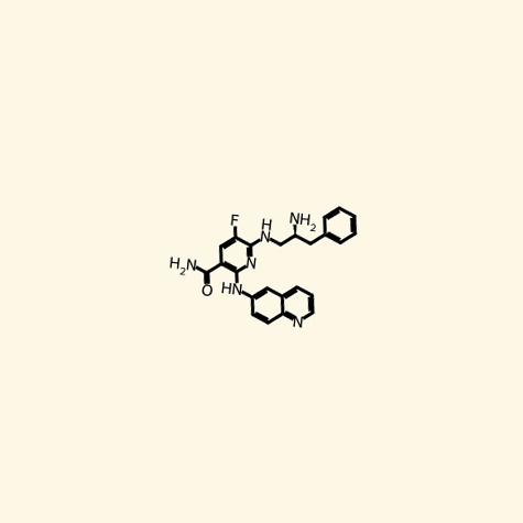 NC(=O)c1cc(F)c(NC[C@@H](N)Cc2ccccc2)nc1Nc1ccc2ncccc2c1